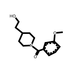 COc1cccc(C(=O)N2CCC(CCO)CC2)c1